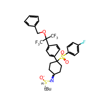 CC(C)(C)[S@+]([O-])N=C1CCC(c2ccc(C(OCc3ccccc3)(C(F)(F)F)C(F)(F)F)cc2)(S(=O)(=O)c2ccc(F)cc2)CC1